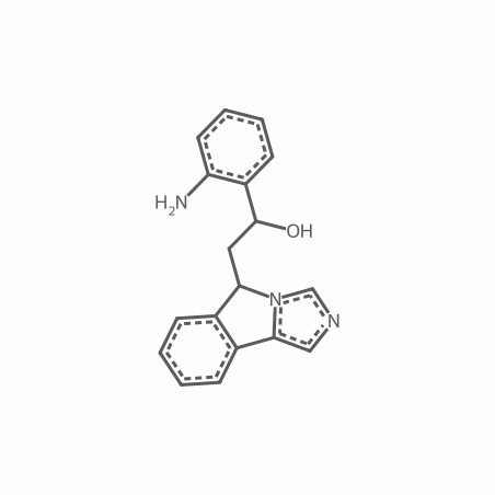 Nc1ccccc1C(O)CC1c2ccccc2-c2cncn21